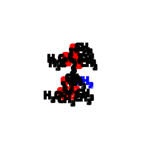 CC1(C)O[C@H]([C@H]2OC(C)(C)O[C@H]2CCCC(CN)CCC[C@@H]2OC(C)(C)O[C@@H]2[C@H]2OC(C)(C)O[C@@H]2[C@H]2COC(C)(C)O2)[C@@H]([C@H]2COC(C)(C)O2)O1